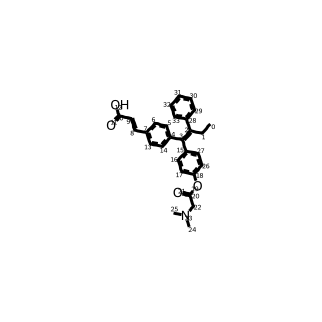 CCC(=C(c1ccc(C=CC(=O)O)cc1)c1ccc(OC(=O)CN(C)C)cc1)c1ccccc1